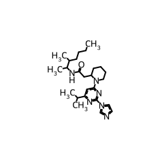 CCCCC(C)C(C)NC(=O)CC1CCCCN1c1cc(C(C)C)nc(-n2ccnc2)n1